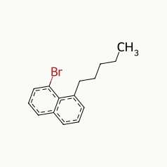 CCCCCc1cccc2cccc(Br)c12